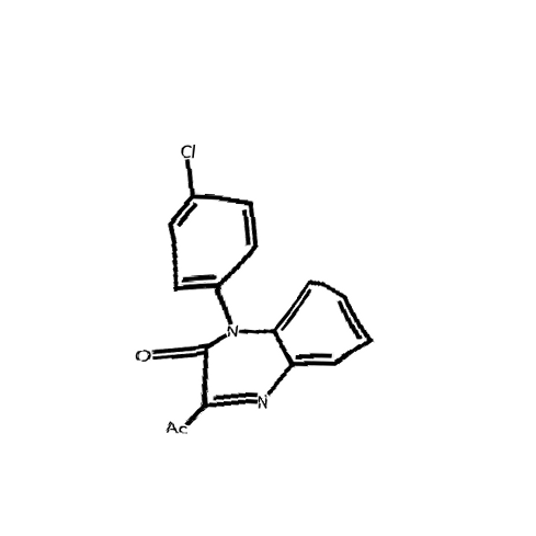 CC(=O)c1nc2ccccc2n(-c2ccc(Cl)cc2)c1=O